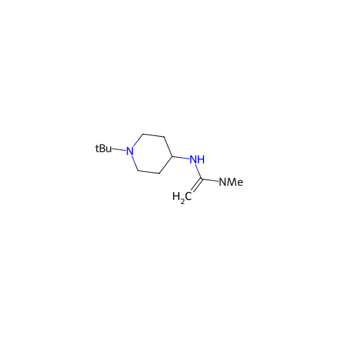 C=C(NC)NC1CCN(C(C)(C)C)CC1